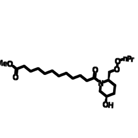 CCCOOC[C@H]1CC[C@@H](O)CN1C(=O)CCCCCCCCCCC(=O)OC